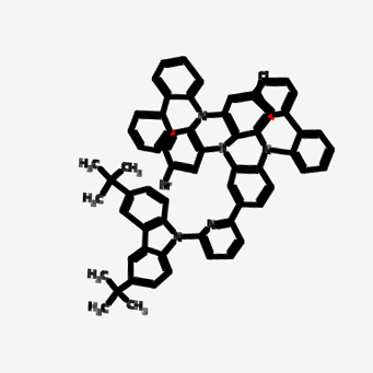 CC(C)(C)c1ccc2c(c1)c1cc(C(C)(C)C)ccc1n2-c1cccc(-c2ccc3c(c2)B2c4cc(Br)ccc4N(c4ccccc4-c4ccccc4)c4cc(Cl)cc(c42)N3c2ccccc2-c2ccccc2)n1